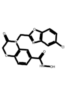 O=C(NO)c1ccc2c(c1)N(Cc1nc3cc(Cl)ccc3o1)C(=O)CO2